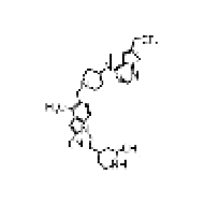 Cc1c(CN2CCC(Nc3ncnc4sc(CC(F)(F)F)cc34)CC2)ccc2c1cc(C#N)n2CCC1CCNC(C)C1